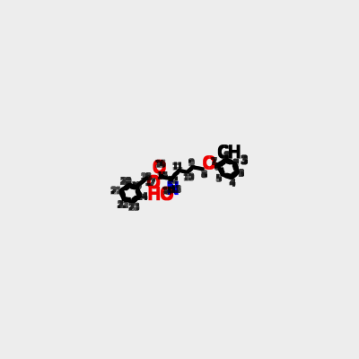 Cc1ccccc1OCCCCC(=NO)C(=O)OCc1ccccc1